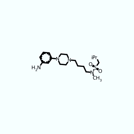 CC(C)CS(=O)(=O)N(C)CCCCN1CCN(c2cccc(N)c2)CC1